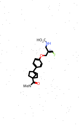 CNC(=O)C12CCC(c3ccc(OC/C(=C\F)CNC(=O)O)cc3)(CC1)C2